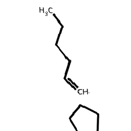 C1CCCC1.[CH]=CCCCC